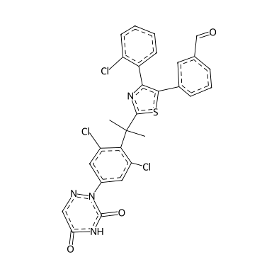 CC(C)(c1nc(-c2ccccc2Cl)c(-c2cccc(C=O)c2)s1)c1c(Cl)cc(-n2ncc(=O)[nH]c2=O)cc1Cl